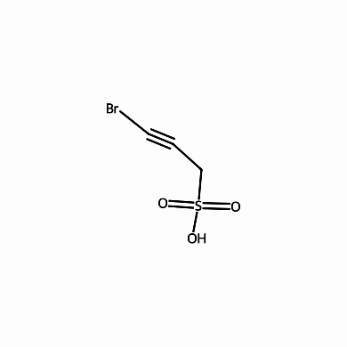 O=S(=O)(O)CC#CBr